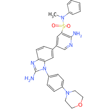 CN(c1ccccc1)S(=O)(=O)c1cc(-c2ccc3nc(N)n(-c4ccc(N5CCOCC5)cc4)c3c2)cnc1N